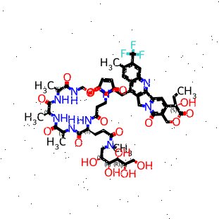 CC[C@@]1(O)C(=O)OCc2c1cc1n(c2=O)Cc2c-1nc1cc(C(F)(F)F)c(C)cc1c2CCCCOCNC(=O)[C@H](C)NC(=O)[C@H](C)NC(=O)[C@H](C)NC(=O)[C@H](CCC(=O)N(C)C[C@H](O)[C@@H](O)[C@H](O)[C@H](O)CO)NC(=O)CCN1C(=O)C=CC1=O